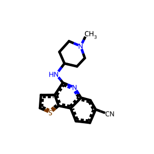 CN1CCC(Nc2nc3cc(C#N)ccc3c3sccc23)CC1